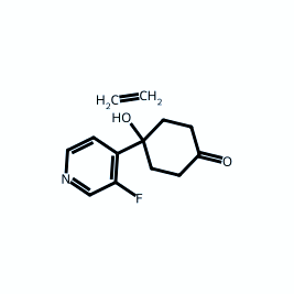 C=C.O=C1CCC(O)(c2ccncc2F)CC1